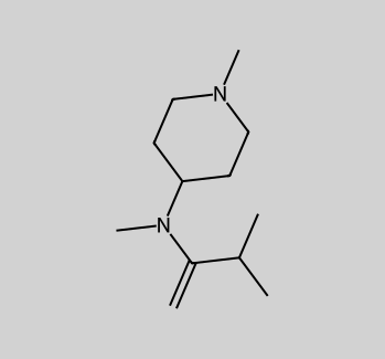 C=C(C(C)C)N(C)C1CCN(C)CC1